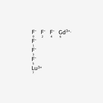 [F-].[F-].[F-].[F-].[F-].[F-].[Gd+3].[Lu+3]